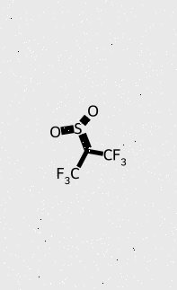 O=S(=O)=C(C(F)(F)F)C(F)(F)F